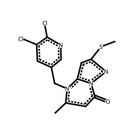 CSc1cc2n(Cc3cnc(Cl)c(Cl)c3)c(C)cc(=O)n2n1